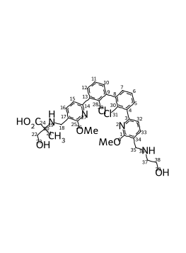 COc1nc(-c2cccc(-c3cccc(-c4ccc(CNC(C)(CO)C(=O)O)c(OC)n4)c3Cl)c2Cl)ccc1CNCCO